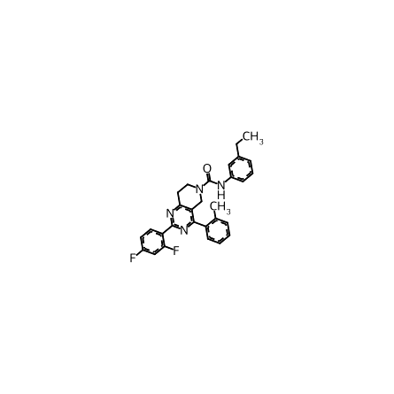 CCc1cccc(NC(=O)N2CCc3nc(-c4ccc(F)cc4F)nc(-c4ccccc4C)c3C2)c1